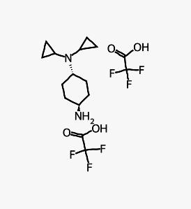 N[C@H]1CC[C@H](N(C2CC2)C2CC2)CC1.O=C(O)C(F)(F)F.O=C(O)C(F)(F)F